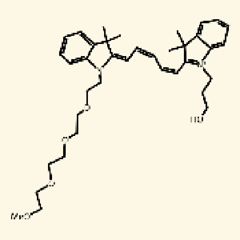 COCCOCCOCCOCCN1/C(=C/C=C\C=C/C2=[N+](CCCO)c3ccccc3C2(C)C)C(C)(C)c2ccccc21